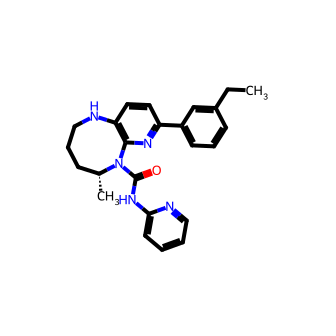 CCc1cccc(-c2ccc3c(n2)N(C(=O)Nc2ccccn2)[C@H](C)CCCN3)c1